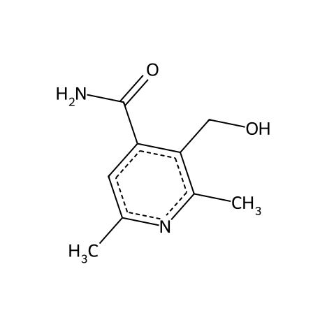 Cc1cc(C(N)=O)c(CO)c(C)n1